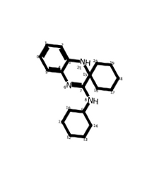 c1ccc2c(c1)N=C(NC1CCCCC1)C1(CCCCC1)N2